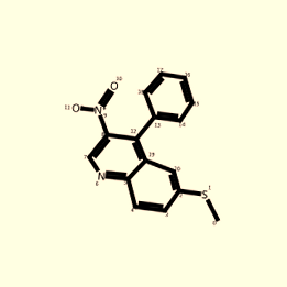 CSc1ccc2ncc([N+](=O)[O-])c(-c3ccccc3)c2c1